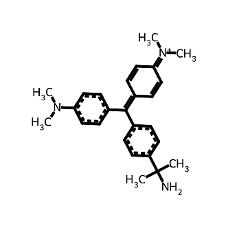 CN(C)c1ccc(C(=C2C=CC(=[N+](C)C)C=C2)c2ccc(C(C)(C)N)cc2)cc1